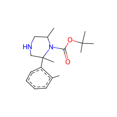 Cc1ccccc1C1(C)CNCC(C)N1C(=O)OC(C)(C)C